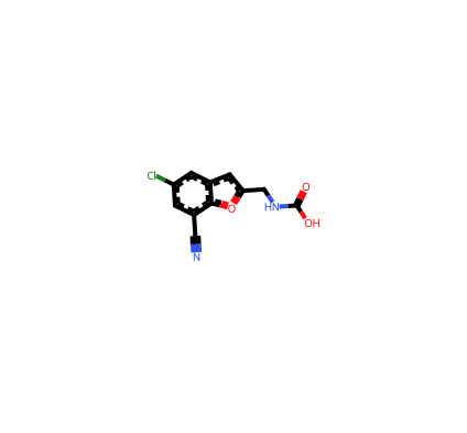 N#Cc1cc(Cl)cc2cc(CNC(=O)O)oc12